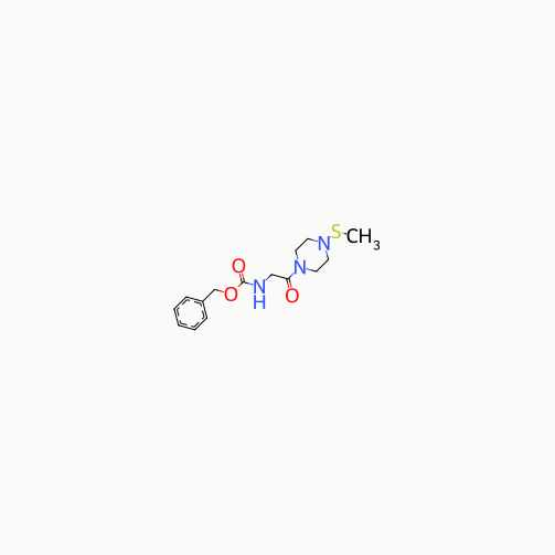 CSN1CCN(C(=O)CNC(=O)OCc2ccccc2)CC1